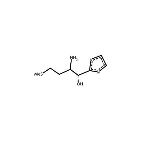 CSCCC(N)[C@@H](O)c1nccs1